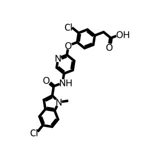 Cn1c(C(=O)Nc2ccc(Oc3ccc(CC(=O)O)cc3Cl)nc2)cc2cc(Cl)ccc21